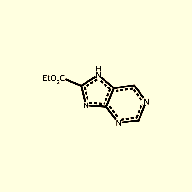 CCOC(=O)c1nc2ncncc2[nH]1